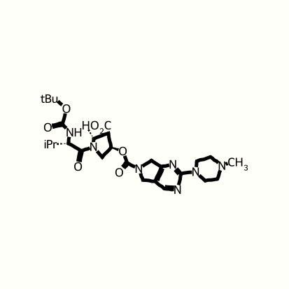 CC(C)[C@H](NC(=O)OC(C)(C)C)C(=O)N1C[C@H](OC(=O)N2Cc3cnc(N4CCN(C)CC4)nc3C2)C[C@H]1C(=O)O